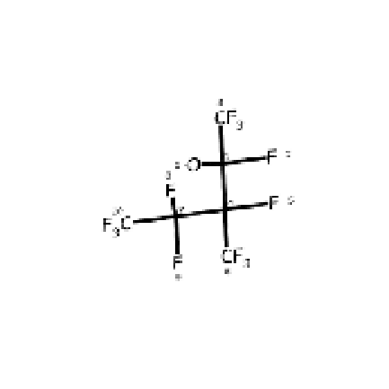 [O]C(F)(C(F)(F)F)C(F)(C(F)(F)F)C(F)(F)C(F)(F)F